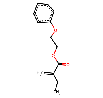 C=C(CC)C(=O)OCCOc1ccccc1